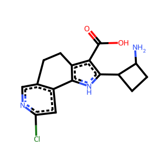 NC1CCC1c1[nH]c2c(c1C(=O)O)CCc1cnc(Cl)cc1-2